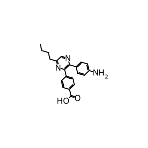 CCCCc1cnc(-c2ccc(N)cc2)c(-c2ccc(C(=O)O)cc2)n1